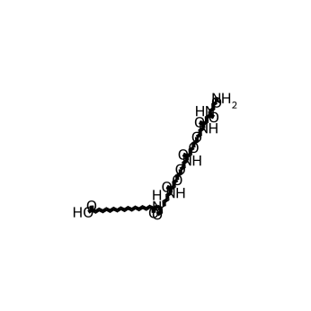 NOCCNC(=O)CCC(=O)NCCOCCOCCC(=O)NCCOCCOCCC(=O)NCCCC[C@@H](C=O)NC(=O)CCCCCCCCCCCCCCCCC(=O)O